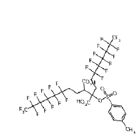 Cc1ccc(S(=O)(=O)OC(CCC(F)(F)C(F)(F)C(F)(F)C(F)(F)C(F)(F)C(F)(F)F)(C(=O)O)C(CCC(F)(F)C(F)(F)C(F)(F)C(F)(F)C(F)(F)C(F)(F)F)C(=O)O)cc1